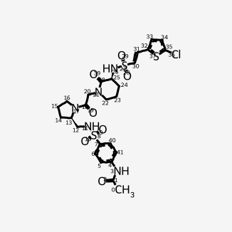 CC(=O)Nc1ccc(S(=O)(=O)NC[C@H]2CCCN2C(=O)CN2CCC[C@H](NS(=O)(=O)/C=C/c3ccc(Cl)s3)C2=O)cc1